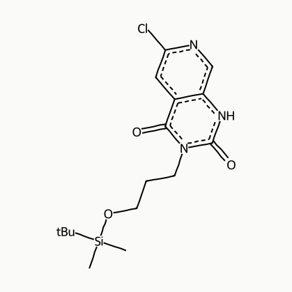 CC(C)(C)[Si](C)(C)OCCCn1c(=O)[nH]c2cnc(Cl)cc2c1=O